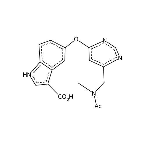 CC(=O)N(C)Cc1cc(Oc2ccc3[nH]cc(C(=O)O)c3c2)ncn1